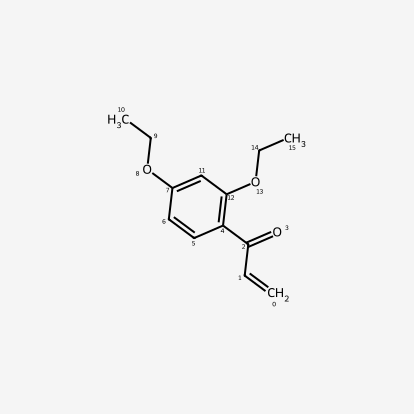 C=CC(=O)c1ccc(OCC)cc1OCC